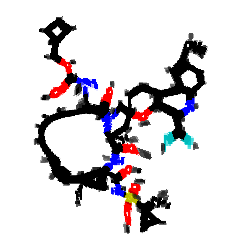 COc1ccc2nc(C(F)F)c3c(c2c1)CC[C@]1(C[C@H]2C(=O)N[C@]4(C(=O)NS(=O)(=O)C5(C)CC5)C[C@H]4/C=C\CCCCC[C@H](NC(=O)OCC4CCC4)C(=O)N2C1)O3